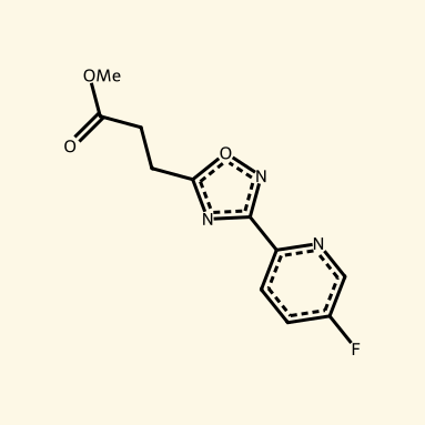 COC(=O)CCc1nc(-c2ccc(F)cn2)no1